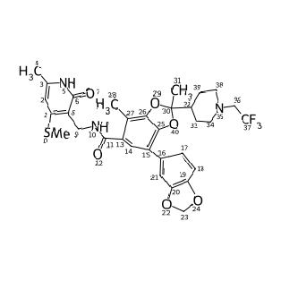 CSc1cc(C)[nH]c(=O)c1CNC(=O)c1cc(-c2ccc3c(c2)OCO3)c2c(c1C)OC(C)(C1CCN(CC(F)(F)F)CC1)O2